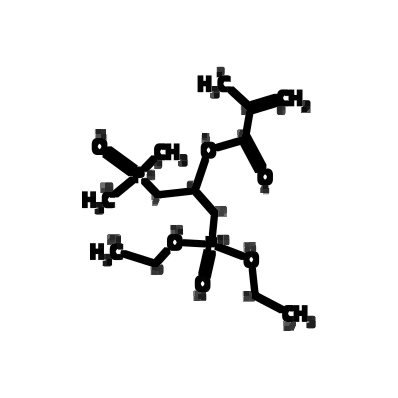 C=C(C)C(=O)OC(CP(C)(C)=O)CP(=O)(OCC)OCC